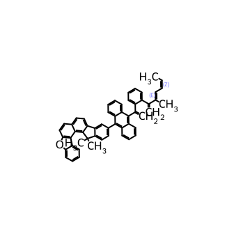 C=C(/C(C)=C/C=C\C)c1ccccc1C(=C)c1c2ccccc2c(-c2ccc3c(c2)-c2ccc4ccc5oc6ccccc6c5c4c2C3(C)C)c2ccccc12